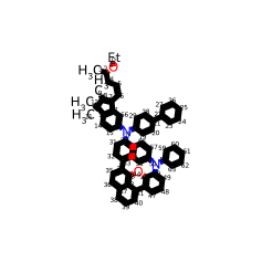 CCOC(C)C/C=C\C1=C(C)C(C)(C)c2ccc(N(c3ccc(-c4ccccc4)cc3)c3ccc(-c4ccc5cccc6c5c4Oc4c-6cccc4N(c4ccccc4)c4ccccc4)cc3)cc21